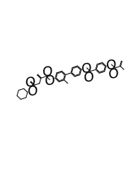 C=C(C)C(=O)Oc1ccc(C(=O)Oc2ccc(-c3ccc(OC(=O)C(=C)CC(=O)OC4CCCCC4)cc3C)cc2)cc1